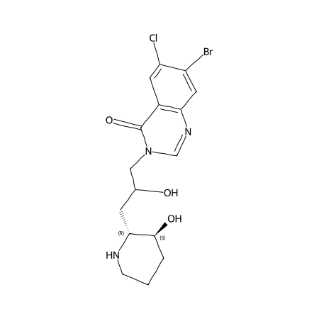 O=c1c2cc(Cl)c(Br)cc2ncn1CC(O)C[C@H]1NCCC[C@@H]1O